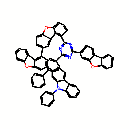 c1ccc(-c2ccc(-c3nc(-c4ccc5c(c4)oc4ccccc45)nc(-c4cccc5oc6ccc(-c7cc(-c8ccc9c%10ccccc%10n(-c%10ccccc%10)c9c8)cc8oc9ccccc9c78)cc6c45)n3)cc2)cc1